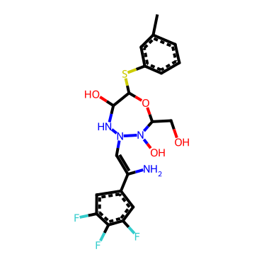 Cc1cccc(SC2OC(CO)N(O)N(/C=C(\N)c3cc(F)c(F)c(F)c3)NC2O)c1